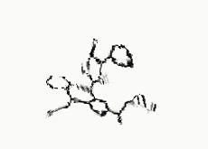 CC(C)CN(c1ccc(C(C)CC(=O)O)cc1NC1=NC(=O)[C@@H](c2ccccc2)N1)C1CCCCC1